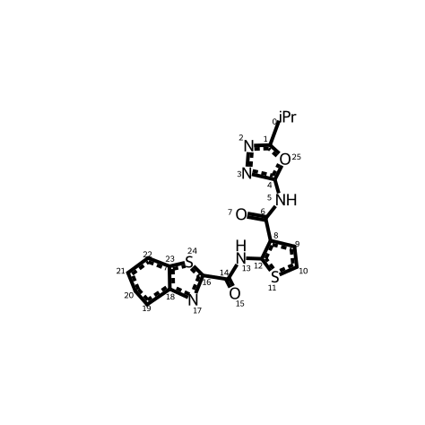 CC(C)c1nnc(NC(=O)c2ccsc2NC(=O)c2nc3ccccc3s2)o1